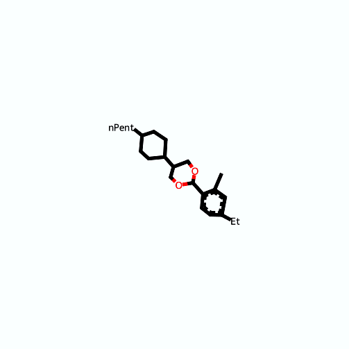 CCCCCC1CCC(C2COC(c3ccc(CC)cc3C)OC2)CC1